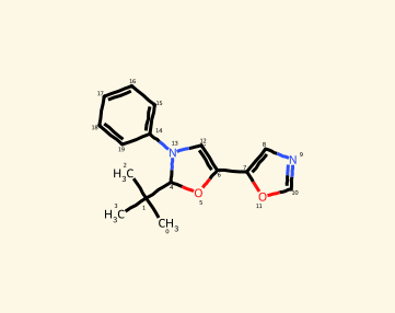 CC(C)(C)C1OC(c2cnco2)=[C]N1c1ccccc1